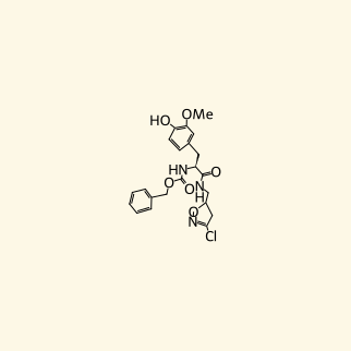 COc1cc(C[C@H](NC(=O)OCc2ccccc2)C(=O)NCC2CC(Cl)=NO2)ccc1O